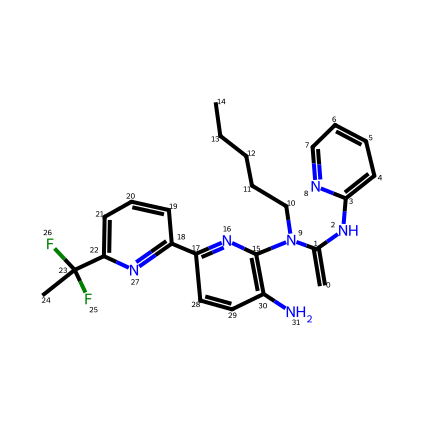 C=C(Nc1ccccn1)N(CCCCC)c1nc(-c2cccc(C(C)(F)F)n2)ccc1N